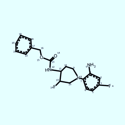 Nc1cc(F)ccc1N1CCC(NC(=O)OCc2ccccc2)C(F)C1